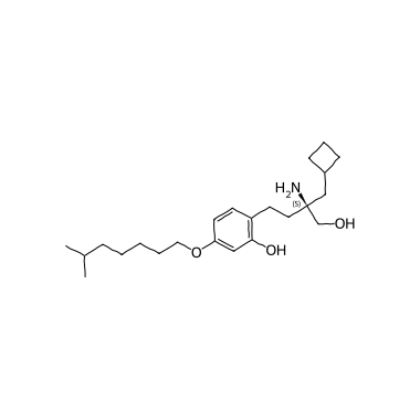 CC(C)CCCCCOc1ccc(CC[C@@](N)(CO)CC2CCC2)c(O)c1